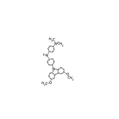 COc1ccc2c(c1)c1cc(OC)ccc1n2-c1ccc(N(I)c2ccc(N(C)C)cc2)cc1